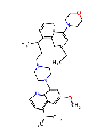 CCc1cc(N2CCOCC2)c2nccc(C(C)CCN3CCN(c4cc(OC)cc5c(C(C)C)ccnc45)CC3)c2c1